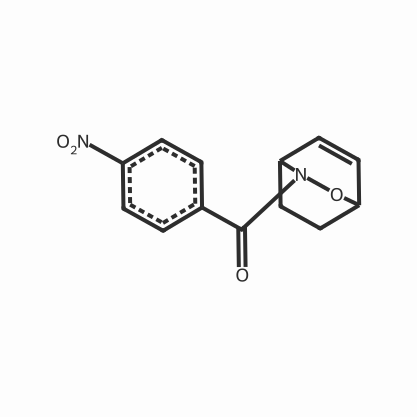 O=C(c1ccc([N+](=O)[O-])cc1)N1OC2C=CC1CC2